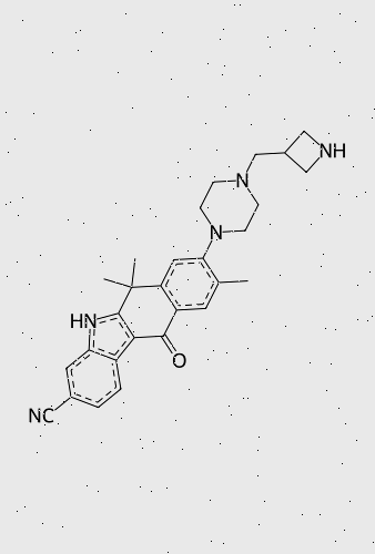 Cc1cc2c(cc1N1CCN(CC3CNC3)CC1)C(C)(C)c1[nH]c3cc(C#N)ccc3c1C2=O